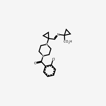 O=C(c1ccccc1Cl)N1CCN(C2(C=NC3(C(=O)O)CC3)CC2)CC1